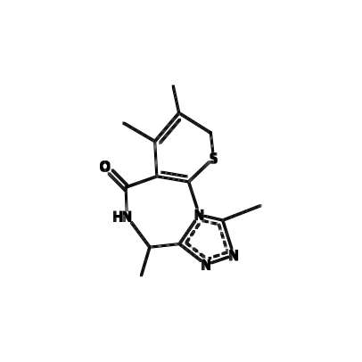 CC1=C(C)C2=C(SC1)n1c(C)nnc1C(C)NC2=O